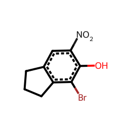 O=[N+]([O-])c1cc2c(c(Br)c1O)CCC2